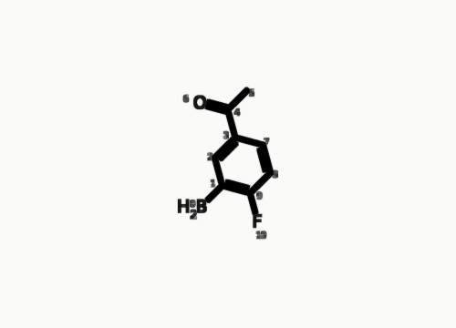 Bc1cc(C(C)=O)ccc1F